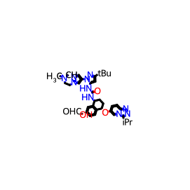 CC(C)c1nnc2ccc(OC3CCC(NC(=O)Nc4cc(C(C)(C)C)nn4-c4cnn(CCN(C)C)c4)c4ccccc43)cn12.O=CO